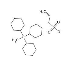 C=CCS(=O)(=O)[O-].C[P+](C1CCCCC1)(C1CCCCC1)C1CCCCC1